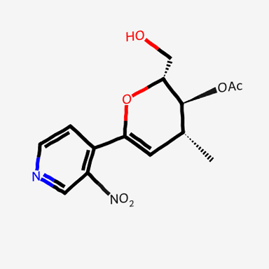 CC(=O)O[C@H]1[C@H](C)C=C(c2ccncc2[N+](=O)[O-])O[C@@H]1CO